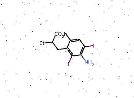 CCC(Cc1c(C)cc(I)c(N)c1I)C(=O)O